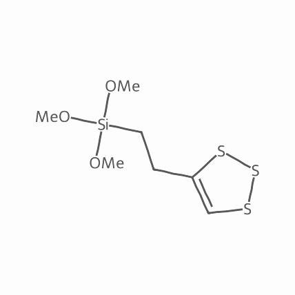 CO[Si](CCC1=CSSS1)(OC)OC